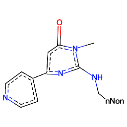 CCCCCCCCCCNc1nc(-c2ccncc2)cc(=O)n1C